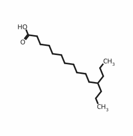 CCCC(CCC)CCCCCCCCCCC(=O)O